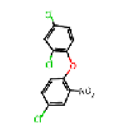 O=[N+]([O-])c1cc(Cl)ccc1Oc1ccc(Cl)cc1Cl